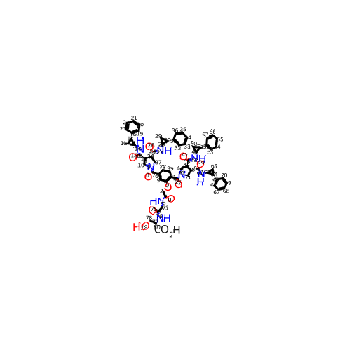 O=C(COc1cc(C(=O)N2C[C@@H](C(=O)N[C@H]3C[C@@H]3c3ccccc3)[C@H](C(=O)N[C@H]3C[C@@H]3c3ccccc3)C2)ccc1C(=O)N1C[C@@H](C(=O)N[C@H]2C[C@@H]2c2ccccc2)[C@H](C(=O)N[C@H]2C[C@@H]2c2ccccc2)C1)NCC(=O)NC(CO)C(=O)O